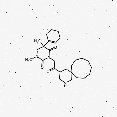 CN1CC(C)(C2=CCCCC2)C(=O)N(CC(=O)C2CNCC3(CCCCCCCC3)C2)C1=O